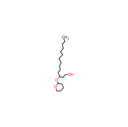 CCCCCCCCCCCC(CCO)OC1CCCCO1